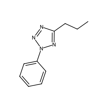 CCCc1nnn(-c2ccccc2)n1